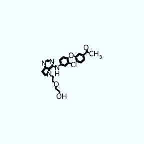 CC(=O)c1cccc(Oc2ccc(Nc3ncnc4ccn(CCOCCO)c34)cc2Cl)c1